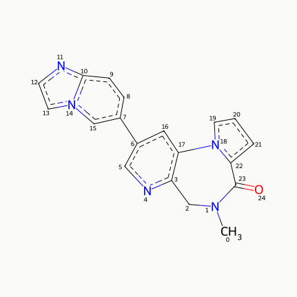 CN1Cc2ncc(-c3ccc4nccn4c3)cc2-n2cccc2C1=O